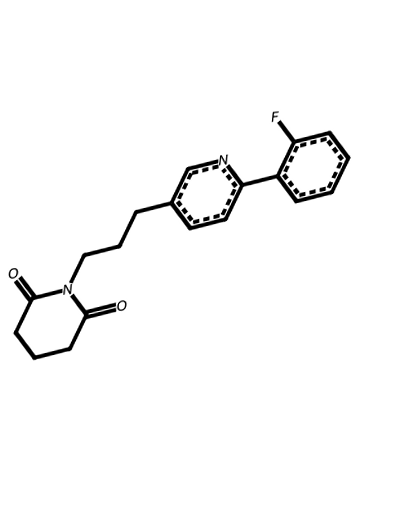 O=C1CCCC(=O)N1CCCc1ccc(-c2ccccc2F)nc1